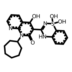 O=c1c(C2=NS(O)(O)c3ccccc3N2)c(O)c2cccnc2n1C1CCCCCC1